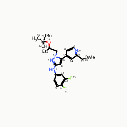 CCC(Cn1nc(Nc2ccc(F)c(F)c2)cc1-c1ccnc(COC)c1)O[Si](C)(C)C(C)(C)C